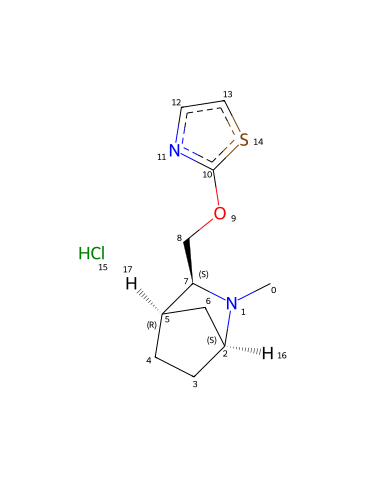 CN1[C@H]2CC[C@H](C2)[C@H]1COc1nccs1.Cl